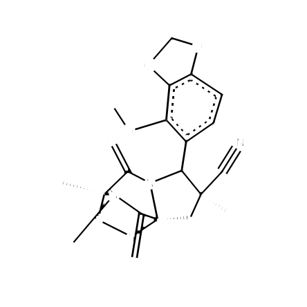 COc1c(C2N3C(=O)[C@]4(C)SS[C@@]3(C[C@]2(C)C#N)C(=O)N4C)ccc2c1OCO2